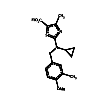 CCOC(=O)c1sc(N(Sc2ccc(OC)c(C)c2)C2CC2)nc1C